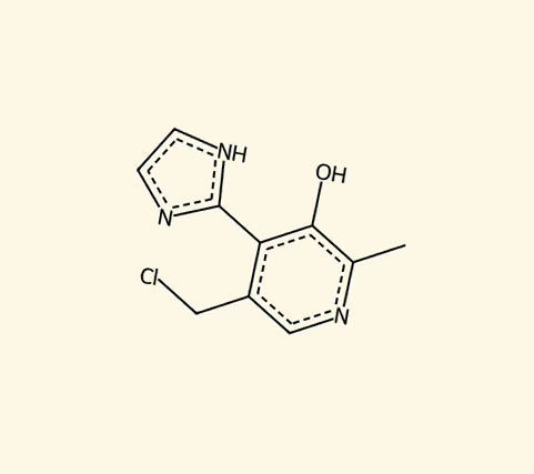 Cc1ncc(CCl)c(-c2ncc[nH]2)c1O